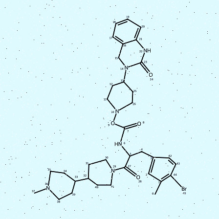 Cc1cc(CC(NC(=O)ON2CCC(N3Cc4ccccc4NC3=O)CC2)C(=O)N2CCC(C3CCN(C)CC3)CC2)ccc1Br